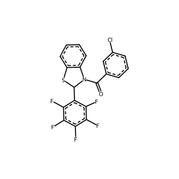 O=C(c1cccc(Cl)c1)N1c2ccccc2SC1c1c(F)c(F)c(F)c(F)c1F